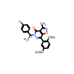 COc1ccc(NC(C)=O)cc1-c1nn([C@@H](C)c2ccc(Cl)cc2)c(=O)c2c(C)noc12